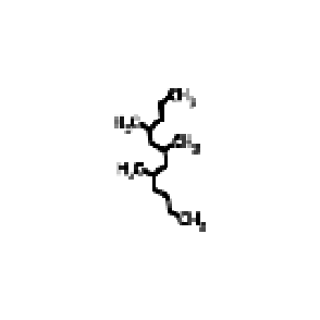 CCCCC(C)CC(C)CC(C)CCC